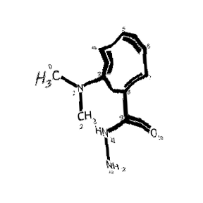 CN(C)c1ccccc1C(=O)NN